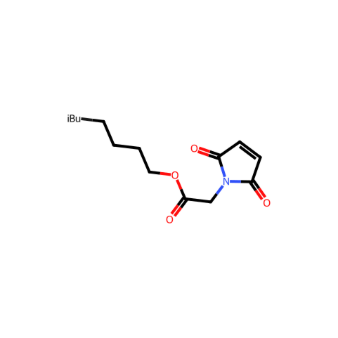 CCC(C)CCCCOC(=O)CN1C(=O)C=CC1=O